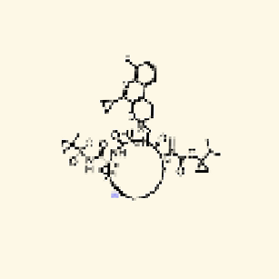 CC(C)C1(OC(=O)N[C@H]2CCCCC/C=C\[C@@H]3C[C@@]3(C(=O)NS(=O)(=O)C3(C)CC3)NC(=O)[C@@H]3C[C@]4(CCc5c(c(C6CC6)nc6c(F)cccc56)O4)CN3C2=O)CC1